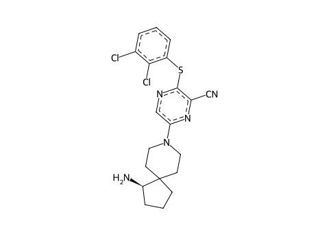 N#Cc1nc(N2CCC3(CCC[C@H]3N)CC2)cnc1Sc1cccc(Cl)c1Cl